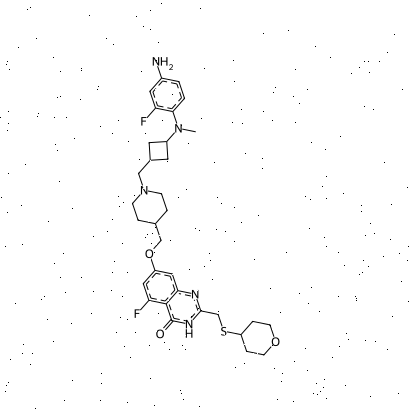 CN(c1ccc(N)cc1F)C1CC(CN2CCC(COc3cc(F)c4c(=O)[nH]c(CSC5CCOCC5)nc4c3)CC2)C1